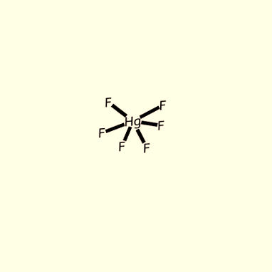 [F][Hg]([F])([F])([F])([F])[F]